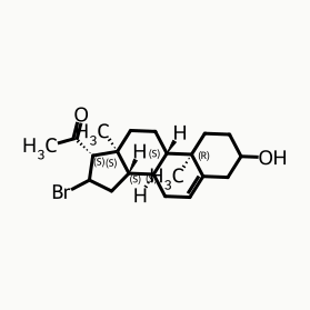 CC(=O)[C@H]1C(Br)C[C@H]2[C@@H]3CC=C4CC(O)CC[C@]4(C)[C@H]3CC[C@]12C